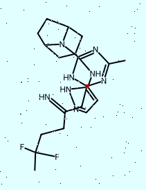 CC1=NC(CC(=N)CCC(C)(F)F)NC(N2C3CCC2CC(Nc2ccn[nH]2)C3)=N1